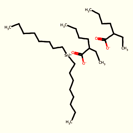 CCCCC(CC)C(=O)[O-].CCCCC(CC)C(=O)[O-].CCCCCCC[CH2][Sn+2][CH2]CCCCCCC